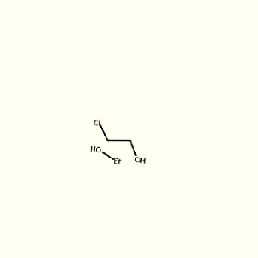 CCO.OCCCl